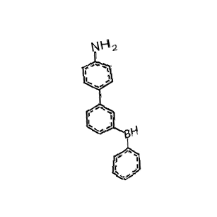 Nc1ccc(-c2cccc(Bc3ccccc3)c2)cc1